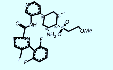 COCCS(=O)(=O)[C@@H]1[C@H](N)C[C@H](c2ccncc2NC(=O)c2ccc(F)c(-c3c(F)cccc3F)n2)C[C@@H]1C